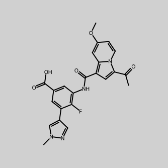 COc1ccn2c(C(C)=O)cc(C(=O)Nc3cc(C(=O)O)cc(-c4cnn(C)c4)c3F)c2c1